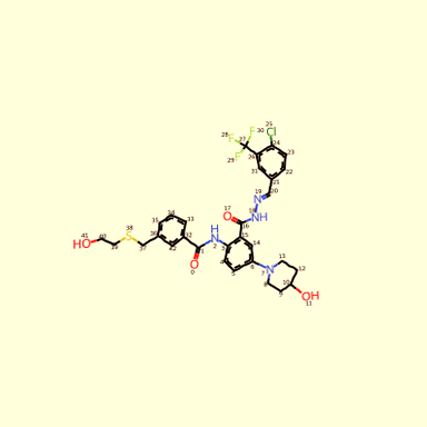 O=C(Nc1ccc(N2CCC(O)CC2)cc1C(=O)NN=Cc1ccc(Cl)c(C(F)(F)F)c1)c1cccc(CSCCO)c1